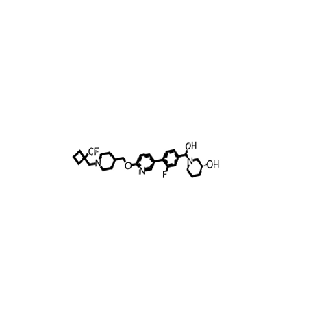 OC(c1ccc(-c2ccc(OCC3CCN(CC4(C(F)(F)F)CCC4)CC3)nc2)c(F)c1)N1CCC[C@@H](O)C1